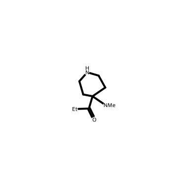 CCC(=O)C1(NC)CCNCC1